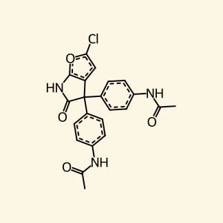 CC(=O)Nc1ccc(C2(c3ccc(NC(C)=O)cc3)C(=O)Nc3oc(Cl)cc32)cc1